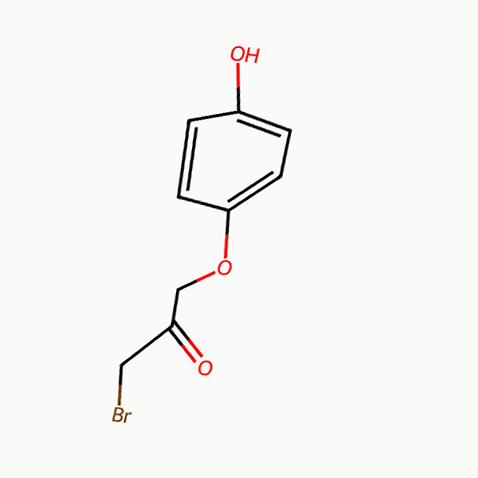 O=C(CBr)COc1ccc(O)cc1